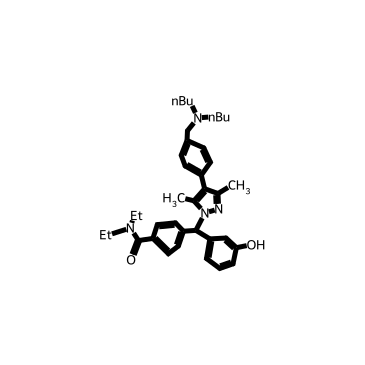 CCCCN(CCCC)Cc1ccc(-c2c(C)nn(C(c3ccc(C(=O)N(CC)CC)cc3)c3cccc(O)c3)c2C)cc1